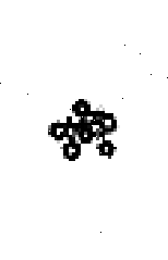 Cc1c(-c2cc3c(oc4cccc(N(c5ccccc5)c5ccccc5)c43)c3ccccc23)nc(-c2ccccc2)c2ccccc12